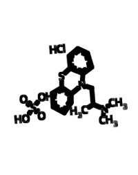 CC(CN1c2ccccc2Sc2ccccc21)N(C)C.Cl.O=S(=O)(O)O